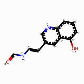 O=CNC=Cc1cnc2cccc(O)c2c1